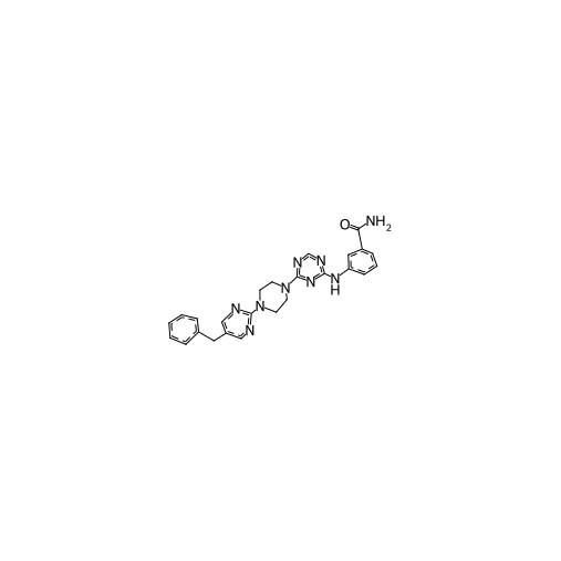 NC(=O)c1cccc(Nc2ncnc(N3CCN(c4ncc(Cc5ccccc5)cn4)CC3)n2)c1